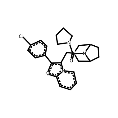 O=C(N1CCCC1)N1C2CCC1CN(Cc1c(-c3ccc(Cl)cc3)nc3ccccn13)C2